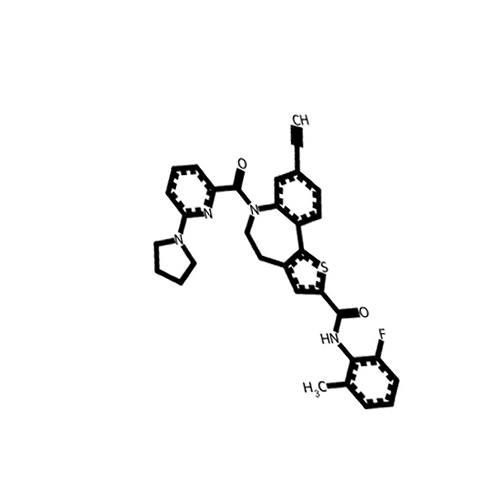 C#Cc1ccc2c(c1)N(C(=O)c1cccc(N3CCCC3)n1)CCc1cc(C(=O)Nc3c(C)cccc3F)sc1-2